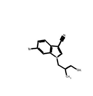 CC(CO)Cn1cc(C#N)c2ccc(Br)cc21